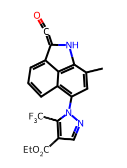 CCOC(=O)c1cnn(-c2cc(C)c3[nH]c(=C=O)c4cccc2c34)c1C(F)(F)F